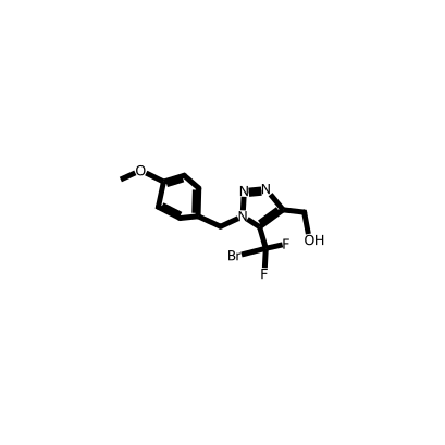 COc1ccc(Cn2nnc(CO)c2C(F)(F)Br)cc1